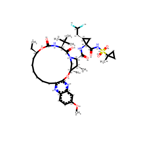 CC[C@@H]1CCCCCCc2nc3ccc(OC)cc3nc2O[C@H]2CN(C(=O)[C@H](C(C)(C)C)NC(=O)O1)[C@H](C(=O)N[C@]1(C(=O)NS(=O)(=O)C3(C)CC3)C[C@H]1CC(F)F)[C@@H]2C